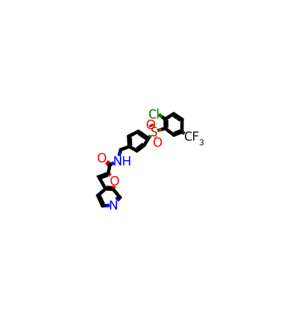 O=C(NCc1ccc(S(=O)(=O)c2cc(C(F)(F)F)ccc2Cl)cc1)c1cc2ccncc2o1